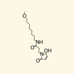 COCCCCCCCCNC(=O)CCN1C(=O)C=CC1O